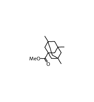 COC(=O)C12CC3(C)CC(C)(CC(C)(C3)C1)C2